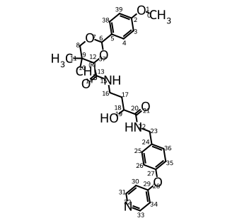 COc1ccc(C2OCC(C)(C)[C@H](C(=O)NCCC(O)C(=O)NCc3ccc(Oc4ccncc4)cc3)O2)cc1